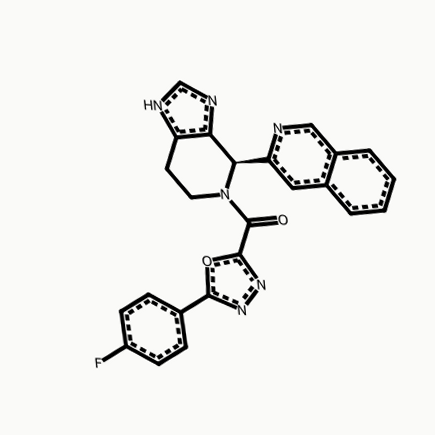 O=C(c1nnc(-c2ccc(F)cc2)o1)N1CCc2[nH]cnc2[C@H]1c1cc2ccccc2cn1